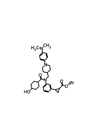 CC(C)OC(=O)C1CC1c1cccc(N(CC2CCN(c3ccc(N(C)C)cc3)CC2)C(=O)C2CCC(O)CC2)c1